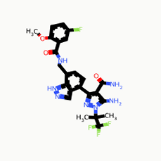 COc1ccc(F)cc1C(=O)NCc1ccc(-c2nn(C(C)(C)C(F)(F)F)c(N)c2C(N)=O)c2cn[nH]c12